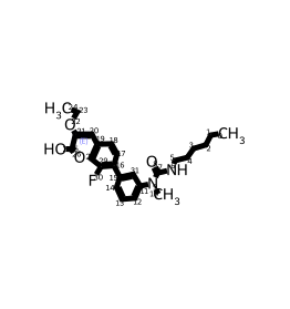 CCCCCCNC(=O)N(C)c1cccc(-c2ccc(/C=C(/OCC)C(=O)O)cc2F)c1